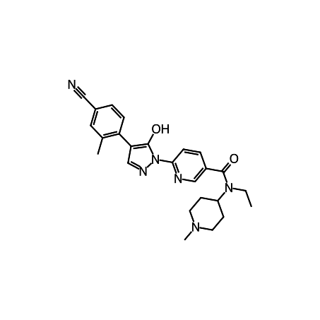 CCN(C(=O)c1ccc(-n2ncc(-c3ccc(C#N)cc3C)c2O)nc1)C1CCN(C)CC1